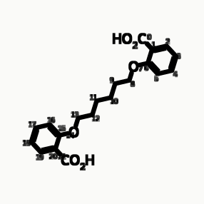 O=C(O)c1ccccc1OCCCCCCOc1ccccc1C(=O)O